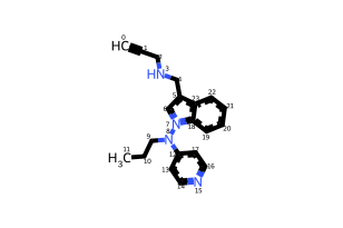 C#CCNCc1cn(N(CCC)c2ccncc2)c2ccccc12